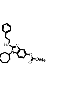 COC(=O)Oc1ccc2c(c1)nc(NCCc1ccccc1)n2C1CCCCCC1